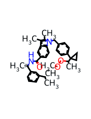 COOC(C)C1(c2ccc(Cn3c(C)c(C)c4cc(C(=O)N[C@@H](C)c5cccc(C(C)C)c5)ccc43)cc2)CC1